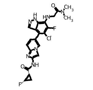 CN(C)C(=O)CNc1c(F)c(Cl)c(-c2ccc3nc(NC(=O)[C@@H]4C[C@@H]4F)cn3c2)c2cn[nH]c12